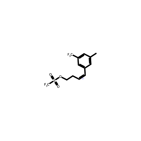 Cc1cc(/C=C\CCOS(=O)(=O)C(F)(F)F)cc(C(F)(F)F)c1